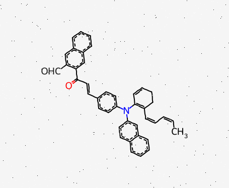 C/C=C\C=C/C1=C(N(c2ccc(C=CC(=O)c3cc4ccccc4cc3C=O)cc2)c2ccc3ccccc3c2)C=CCC1